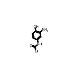 CCC(=O)Nc1ccc(O)c(N)c1